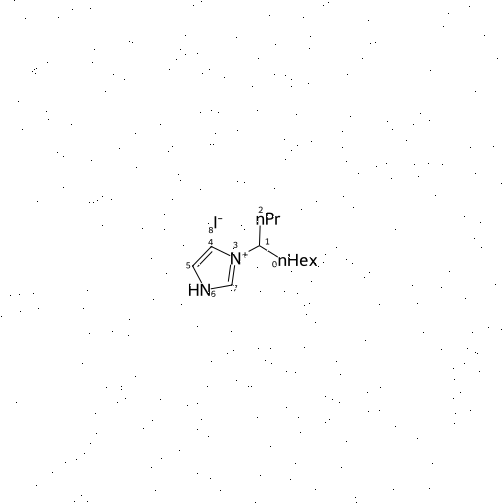 CCCCCCC(CCC)[n+]1cc[nH]c1.[I-]